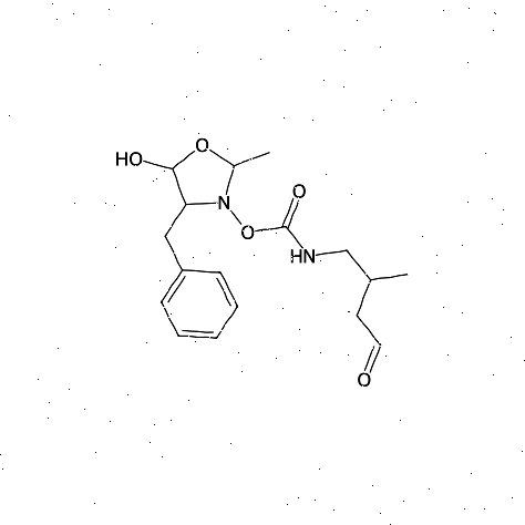 CC(CC=O)CNC(=O)ON1C(C)OC(O)C1Cc1ccccc1